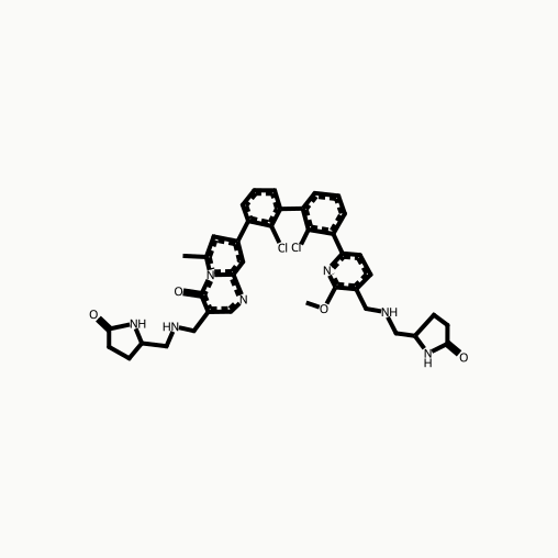 COc1nc(-c2cccc(-c3cccc(-c4cc(C)n5c(=O)c(CNCC6CCC(=O)N6)cnc5c4)c3Cl)c2Cl)ccc1CNCC1CCC(=O)N1